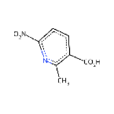 Cc1nc([N+](=O)[O-])ccc1C(=O)O